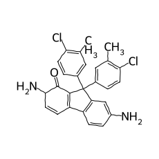 Cc1cc(C2(c3ccc(Cl)c(C)c3)C3=C(C=CC(N)C3=O)c3ccc(N)cc32)ccc1Cl